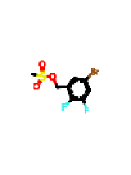 CS(=O)(=O)OCc1cc(Br)cc(F)c1F